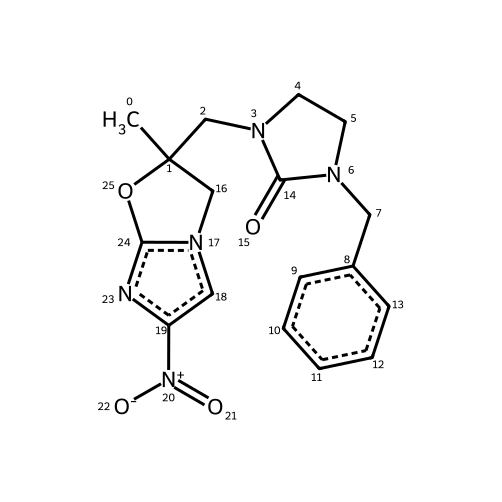 CC1(CN2CCN(Cc3ccccc3)C2=O)Cn2cc([N+](=O)[O-])nc2O1